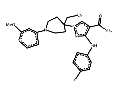 COc1cc(N2CCC(CC#N)(n3cc(C(N)=O)c(Nc4ccc(F)cc4)n3)CC2)ccn1